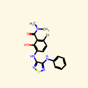 CCc1ccc(Nc2nsnc2Nc2ccccc2)c(O)c1C(=O)N(C)C